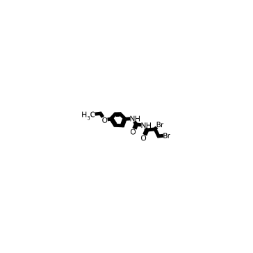 CCOc1ccc(NC(=O)NC(=O)C(Br)CBr)cc1